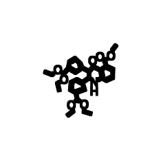 CCOC(=O)c1cccc2c1C(=O)C(c1cccc(C(OCC)OCC)c1)C(c1cccc(C(OCC)OCC)c1)N2